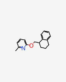 Cc1cccc(OCC2CCCc3ccccc32)n1